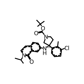 Cc1c(Cl)cccc1[C@@]1(Nc2ccc3ccn(C(C)C)c(=O)c3c2)CCN(C(=O)OC(C)(C)C)C1